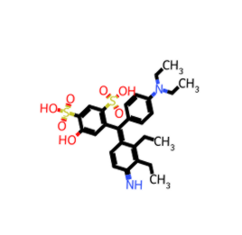 CCC1=C(CC)C(=C(c2ccc(N(CC)CC)cc2)c2cc(O)c(S(=O)(=O)O)cc2S(=O)(=O)O)C=CC1=N